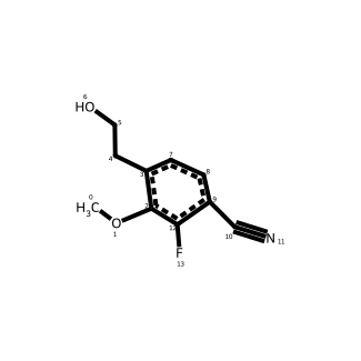 COc1c(CCO)ccc(C#N)c1F